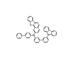 c1ccc(-c2ccc(N(c3cccc(-c4cccc(-n5c6ccccc6c6ccccc65)c4)c3)c3ccc4ccc5c6ccccc6sc5c4c3)cc2)cc1